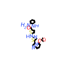 Nc1ccccc1NC(=O)c1ccc(Nc2ncc(-c3cnc4cccc(OC5COC5)n34)s2)s1